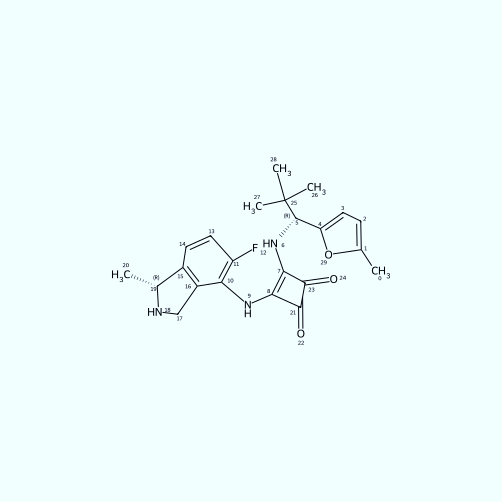 Cc1ccc([C@H](Nc2c(Nc3c(F)ccc4c3CN[C@@H]4C)c(=O)c2=O)C(C)(C)C)o1